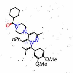 CCC/C=C1\C(N2CCN(C(=O)C3CCCCC3)CC2)=CC(C)=NN1C(=C(C)C)C1C=C(OC)C(OC)=CC1